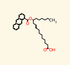 CCCCCCC(CC=CCCCCCCCC(=O)O)OC(=O)c1cccc2cc3ccccc3cc12